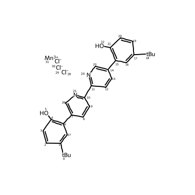 CC(C)(C)c1ccc(O)c(-c2ccc(-c3ccc(-c4cc(C(C)(C)C)ccc4O)cn3)nc2)c1.[Cl-].[Cl-].[Cl-].[Mn+3]